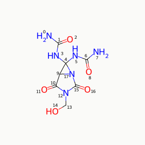 NC(=O)NC1(NC(N)=O)C2C(=O)N(CO)C(=O)N21